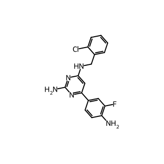 Nc1nc(NCc2ccccc2Cl)cc(-c2ccc(N)c(F)c2)n1